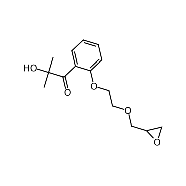 CC(C)(O)C(=O)c1ccccc1OCCOCC1CO1